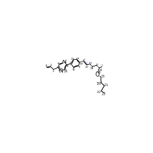 C=CCc1cnc(-c2ccc(/C=C/CCCC(C)OCCCCC)cc2)cn1